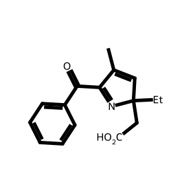 CCC1(CC(=O)O)C=C(C)C(C(=O)c2ccccc2)=N1